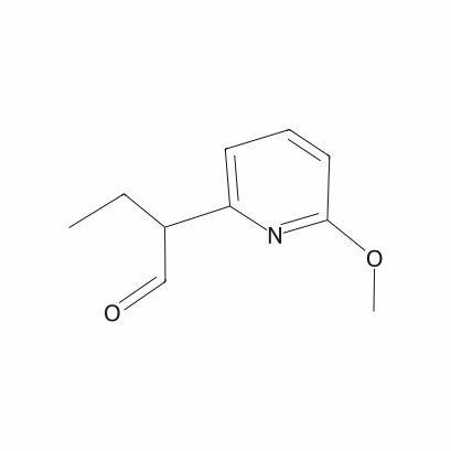 CCC(C=O)c1cccc(OC)n1